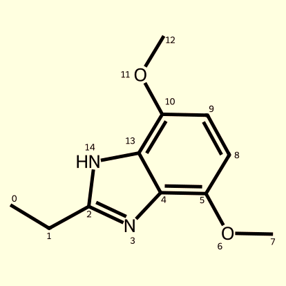 CCc1nc2c(OC)ccc(OC)c2[nH]1